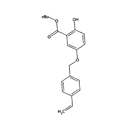 C=Cc1ccc(COc2ccc(O)c(C(=O)OCCCC)c2)cc1